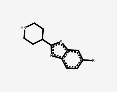 Brc1ccc2nc(C3CCNCC3)sc2c1